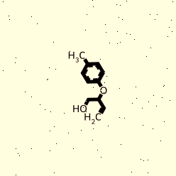 C=CC(CO)Oc1ccc(C)cc1